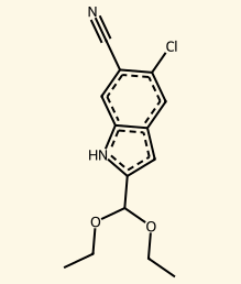 CCOC(OCC)c1cc2cc(Cl)c(C#N)cc2[nH]1